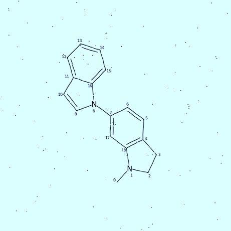 CN1CCc2ccc(-n3ccc4c[c]ccc43)cc21